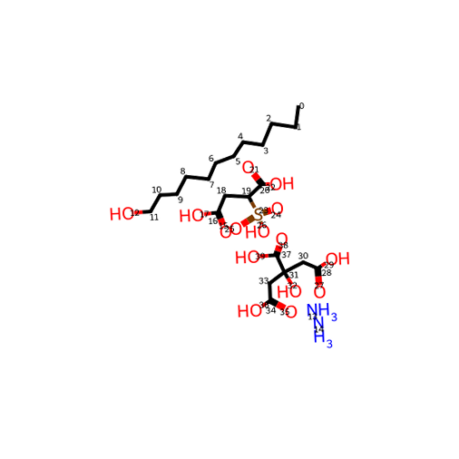 CCCCCCCCCCCCO.N.N.O=C(O)CC(C(=O)O)S(=O)(=O)O.O=C(O)CC(O)(CC(=O)O)C(=O)O